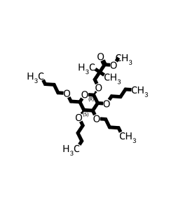 CCCCOCC1O[C@@H](OCC(C)(C)C(=O)OC)C(OCCCC)C(OCCCC)[C@H]1OCCCC